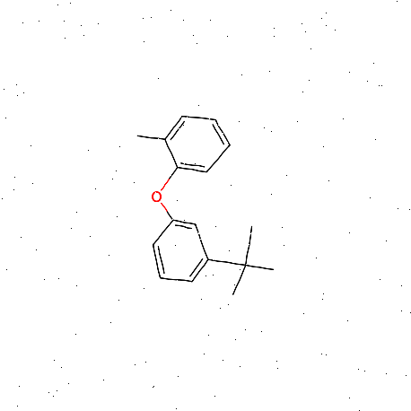 Cc1ccccc1Oc1cccc(C(C)(C)C)c1